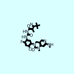 CNc1cc2c(cn1)CN(c1cc(NC(=O)Nc3onc(C(C)(C)C)c3C)c(F)cc1Cl)C(=O)N2C